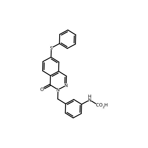 O=C(O)Nc1cccc(Cn2ncc3cc(Sc4ccccc4)ccc3c2=O)c1